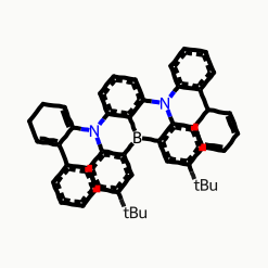 CC(C)(C)c1ccc2c(c1)B1c3cc(C(C)(C)C)ccc3N(c3ccccc3C3C=CC=CC3)c3cccc(c31)N2C1=CCCC=C1c1ccccc1